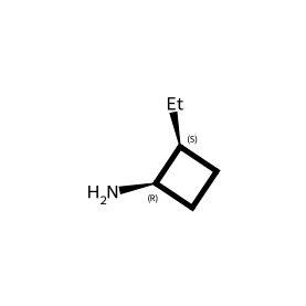 CC[C@H]1CC[C@H]1N